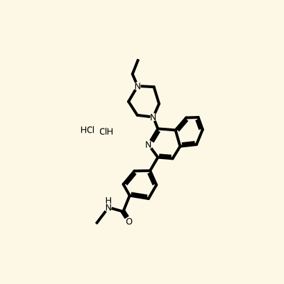 CCN1CCN(c2nc(-c3ccc(C(=O)NC)cc3)cc3ccccc23)CC1.Cl.Cl